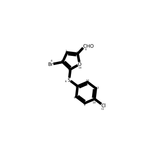 O=Cc1cc(Br)c(Sc2ccc(Cl)cc2)o1